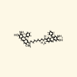 CC1=CC2=Nc3cc(O)c(N)cc3N(c3ccccc3)C2C=C1NCCCCCCCCNc1cc2c(cc1C)nc1cc(O)c(N)cc1[n+]2-c1ccccc1